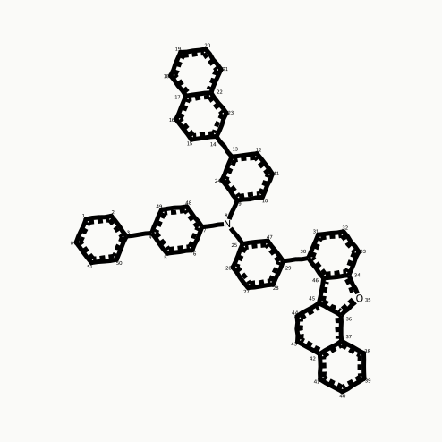 c1ccc(-c2ccc(N(c3cccc(-c4ccc5ccccc5c4)c3)c3cccc(-c4cccc5oc6c7ccccc7ccc6c45)c3)cc2)cc1